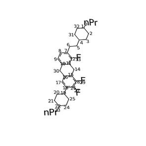 CCCC1CCC(CCc2ccc3c(c2F)Cc2c(cc(C4CCC(CCC)CC4)c(F)c2F)C3)CC1